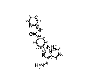 NCC1=C2C=NC=C[N+]2(N)C(c2ccc(C(=O)Nc3ccccn3)cc2)=N1